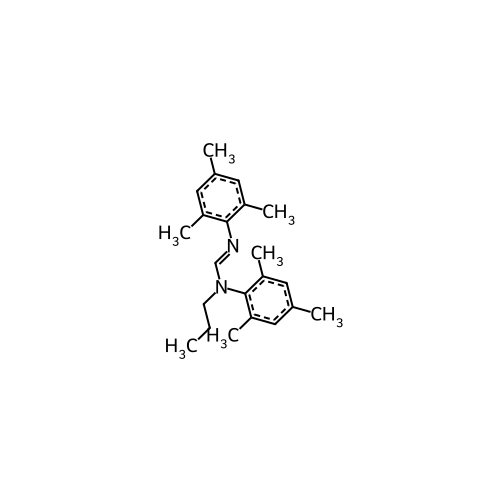 CCCN(/C=N/c1c(C)cc(C)cc1C)c1c(C)cc(C)cc1C